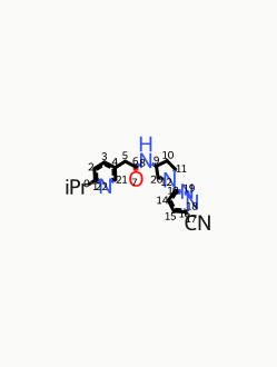 CC(C)c1ccc(CC(=O)NC2CCN(c3ccc(C#N)nn3)C2)cn1